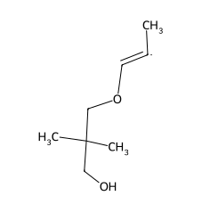 C[C]=COCC(C)(C)CO